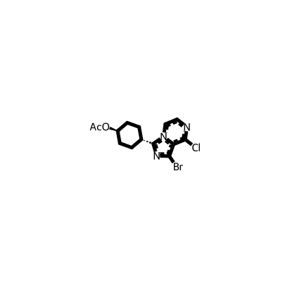 CC(=O)O[C@H]1CC[C@H](c2nc(Br)c3c(Cl)nccn32)CC1